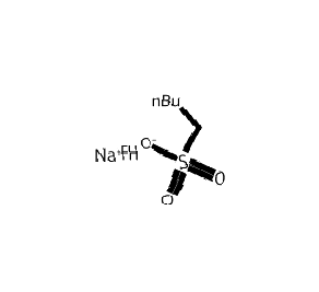 CCCCCS(=O)(=O)[O-].F.[Na+]